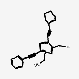 N#CCc1cc(CC#N)c(C#Cc2ccccc2)cc1C#CC1=CCCCC1